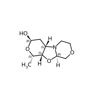 C[C@@H]1O[C@@H](O)C[C@H]2[C@@H]1O[C@@H]1COCCN12